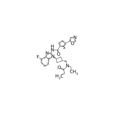 C=CC(=O)N(CC)C[C@H]1C[C@@H](n2c(NC(=O)c3ccc(-c4cnco4)s3)nc3c(F)cccc32)C1